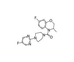 CC1COc2cc(F)ccc2N1C(=O)N1CCN(c2ncc(F)cn2)CC1